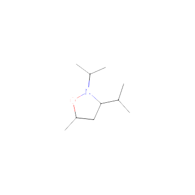 CC1CC(C(C)C)N(C(C)C)O1